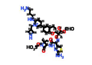 CC1(C)[C@H](NC(=O)/C(=N\O[C@](C)(C(=O)OC=O)[C@H]2CCc3cc(-c4ccc(NCCCN)[n+](CC5CNC5)c4)ccc3O2)c2csc(N)n2)C(=O)N1OS(=O)(=O)O